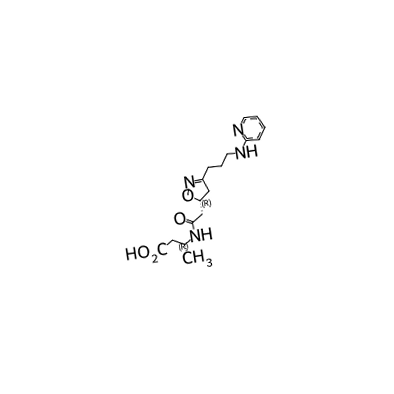 C[C@H](CC(=O)O)NC(=O)C[C@H]1CC(CCCNc2ccccn2)=NO1